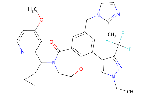 CCn1cc(-c2cc(Cn3ccnc3C)cc3c2OCCN(C(c2cc(OC)ccn2)C2CC2)C3=O)c(C(F)(F)F)n1